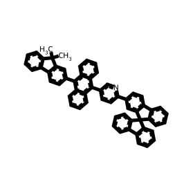 CC1(C)c2ccccc2-c2ccc(-c3c4ccccc4c(-c4ccc(-c5ccc6c(c5)C5(c7ccccc7-c7ccccc75)c5ccccc5-6)nc4)c4ccccc34)cc21